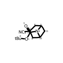 CC(C)(C)OC(=O)N1C2CC(C#N)CC1C2